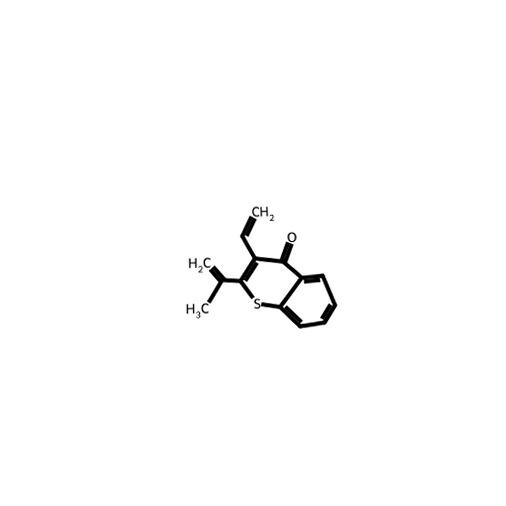 C=Cc1c(C(=C)C)sc2ccccc2c1=O